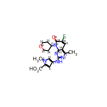 Cc1nc(Nc2cc(C(=O)O)n(C)c2)nc2c1cc(F)c(=O)n2C1CCOCC1